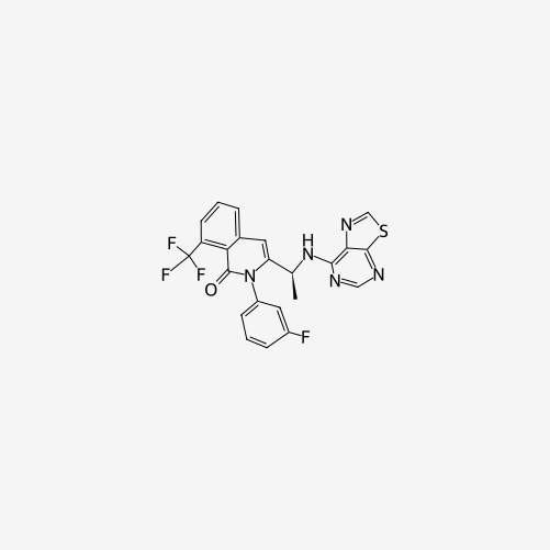 C[C@H](Nc1ncnc2scnc12)c1cc2cccc(C(F)(F)F)c2c(=O)n1-c1cccc(F)c1